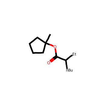 CCCCC(CC)C(=O)OC1(C)CCCC1